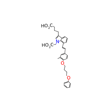 Cc1cc(C=Cc2cccc3c(CCCC(=O)O)cn(CC(=O)O)c23)ccc1OCCCCOc1ccccc1